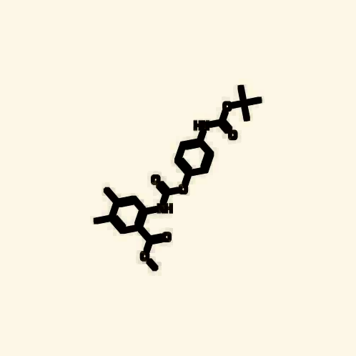 COC(=O)c1cc(C)c(C)cc1NC(=O)Oc1ccc(NC(=O)OC(C)(C)C)cc1